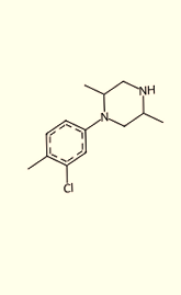 Cc1ccc(N2CC(C)NCC2C)cc1Cl